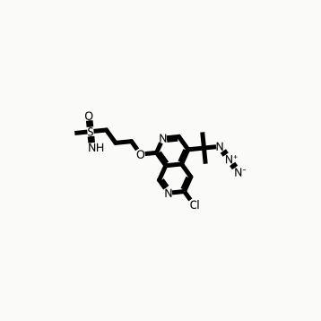 CC(C)(N=[N+]=[N-])c1cnc(OCCCS(C)(=N)=O)c2cnc(Cl)cc12